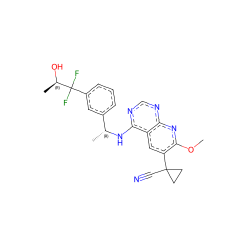 COc1nc2ncnc(N[C@H](C)c3cccc(C(F)(F)[C@@H](C)O)c3)c2cc1C1(C#N)CC1